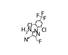 N#Cc1c(CF)nn(-c2c(Cl)cc(C(F)(F)F)cc2Cl)c1N